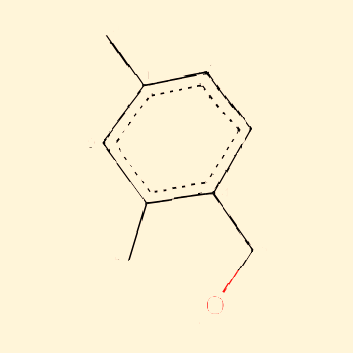 Cc1ccc(C[O])c(C)c1